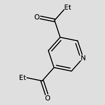 CCC(=O)c1cncc(C(=O)CC)c1